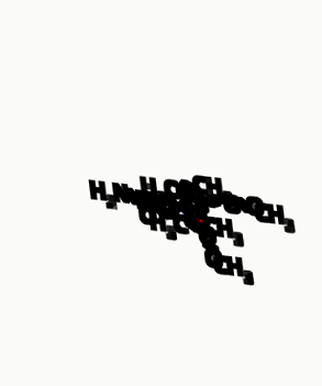 COCCOCC#CB(C#CCOCCOC)n1c(C)cc(C)c1/C(=C1\N=C(C)C=C1C)c1ccc(C(=O)NCCN)cc1